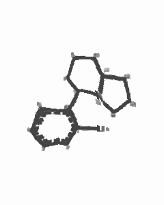 [Li][c]1ccccc1C1CCCC2CCCN21